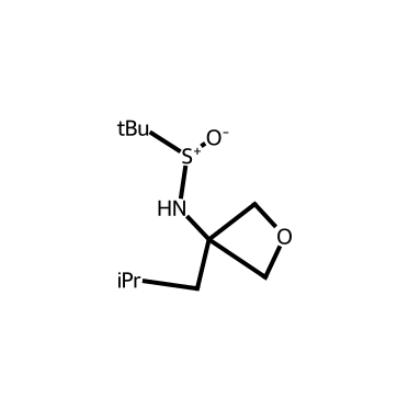 CC(C)CC1(N[S+]([O-])C(C)(C)C)COC1